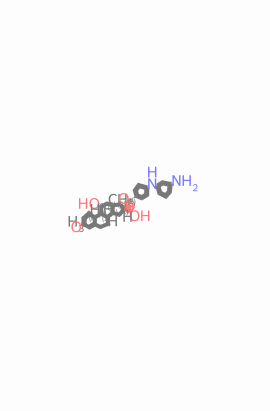 C[C@]12C=CC(=O)C=C1CC[C@@H]1[C@@H]2[C@@H](O)C[C@@]2(C)[C@H]1C[C@H]1O[C@@H](c3ccc(Nc4cccc(N)c4)cc3)O[C@]12C(=O)CO